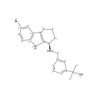 CC(C)(O)c1cccc(CN[C@@H]2CCCc3c2[nH]c2ccc(Br)cc32)c1